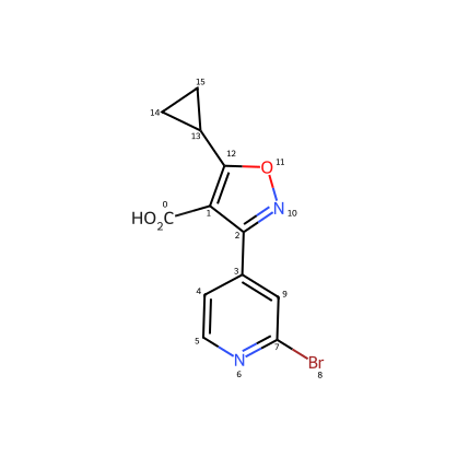 O=C(O)c1c(-c2ccnc(Br)c2)noc1C1CC1